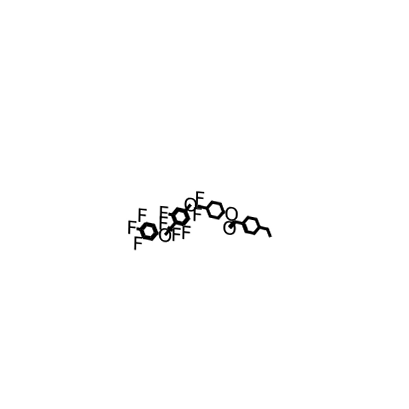 CCC1CC=C(C(=O)OC2CCC(C(F)(F)Oc3cc(F)c(C(F)(F)Oc4cc(F)c(F)c(F)c4)c(F)c3)CC2)CC1